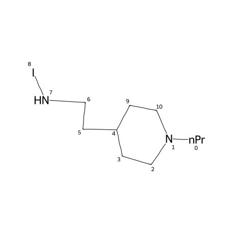 CCCN1CCC(CCNI)CC1